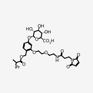 CC(C)C(C)C(=O)OCc1ccc(O[C@@H]2O[C@H](C(=O)O)[C@@H](O)[C@H](O)[C@H]2O)cc1OCCOCCNC(=O)CCN1C(=O)C=CC1=O